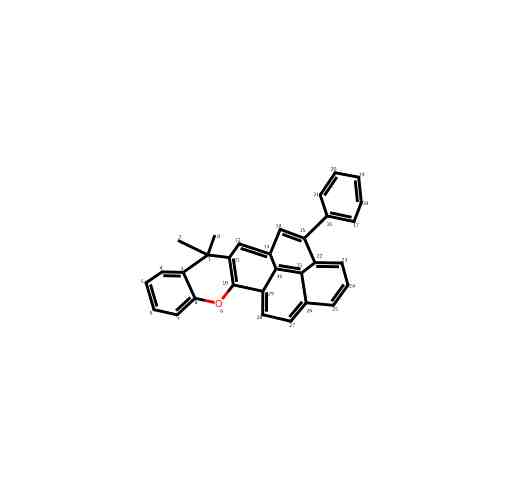 CC1(C)c2ccccc2Oc2c1cc1cc(-c3ccccc3)c3cccc4ccc2c1c43